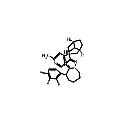 Cc1cc(N2C[C@H]3CC[C@@H](C2)C3Nc2nc3n(n2)CCCCC3c2ccc(F)c(F)c2F)ncn1